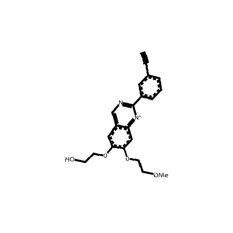 C#Cc1cccc(C2=NC=c3cc(OCCO)c(OCCOC)cc3=[N+]2)c1